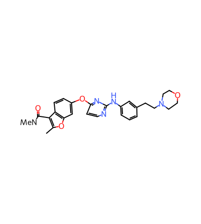 CNC(=O)c1c(C)oc2cc(Oc3ccnc(Nc4cccc(CCN5CCOCC5)c4)n3)ccc12